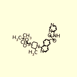 CC1CN(C(=O)OC(C)(C)C)CCN1c1nccc2cc(S(=O)(=O)Nc3ccncn3)ccc12